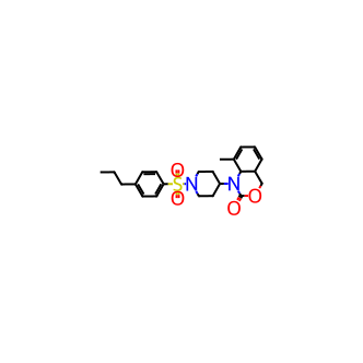 CCCc1ccc(S(=O)(=O)N2CCC(N3C(=O)OCC4C=CC=C(C)C43)CC2)cc1